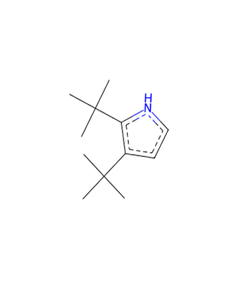 CC(C)(C)c1cc[nH]c1C(C)(C)C